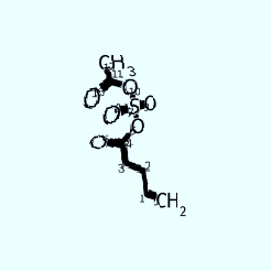 C=CCCC(=O)OS(=O)(=O)OC(C)=O